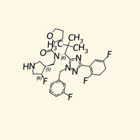 CC(C)(C)[C@H](c1nc(C2=C(F)CCC(F)=C2)nn1Cc1cccc(F)c1)N(C[C@@H]1CNC[C@@H]1F)C(=O)C1CCCO1